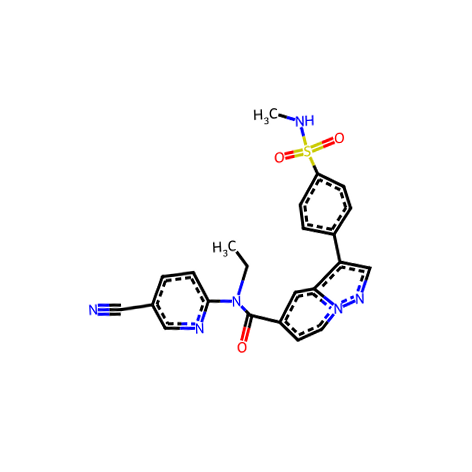 CCN(C(=O)c1ccn2ncc(-c3ccc(S(=O)(=O)NC)cc3)c2c1)c1ccc(C#N)cn1